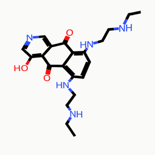 CCNCCNc1ccc(NCCNCC)c2c1C(=O)c1cncc(O)c1C2=O